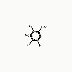 CC(=O)Oc1cc(Cl)c(Cl)cc1Cl.[MgH2]